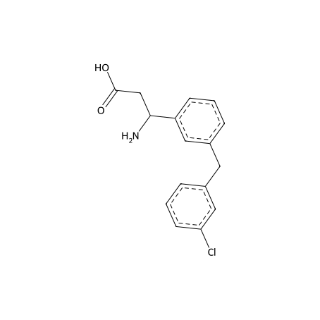 NC(CC(=O)O)c1cccc(Cc2cccc(Cl)c2)c1